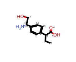 CCC(C(=O)O)c1ccc([C@H](N)CO)cc1